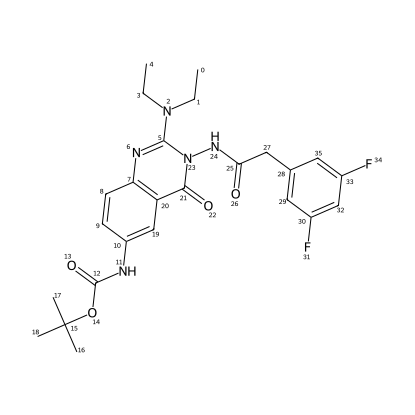 CCN(CC)c1nc2ccc(NC(=O)OC(C)(C)C)cc2c(=O)n1NC(=O)Cc1cc(F)cc(F)c1